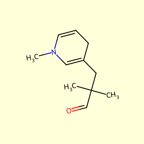 CN1C=CCC(CC(C)(C)C=O)=C1